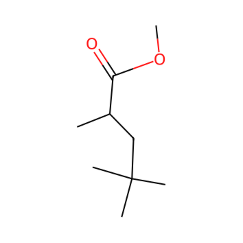 COC(=O)C(C)CC(C)(C)C